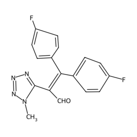 Cn1nnnc1C(C=O)=C(c1ccc(F)cc1)c1ccc(F)cc1